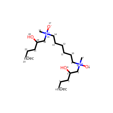 CCCCCCCCCCCCC(O)C[N+](C)([O-])CCCCCC[N+](C)([O-])CC(O)CCCCCCCCCCCC